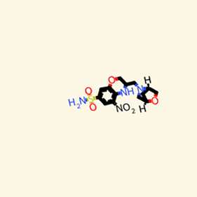 NS(=O)(=O)c1cc2c(c([N+](=O)[O-])c1)NC(CN1C[C@@H]3C[C@H]1CO3)CO2